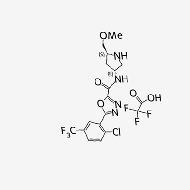 COC[C@@H]1C[C@@H](NC(=O)c2nnc(-c3cc(C(F)(F)F)ccc3Cl)o2)CN1.O=C(O)C(F)(F)F